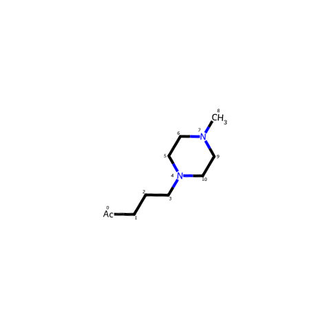 CC(=O)CCCN1CCN(C)CC1